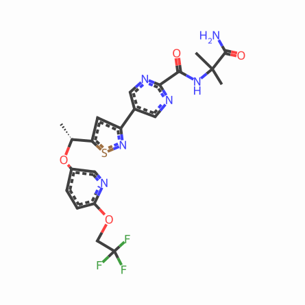 C[C@@H](Oc1ccc(OCC(F)(F)F)nc1)c1cc(-c2cnc(C(=O)NC(C)(C)C(N)=O)nc2)ns1